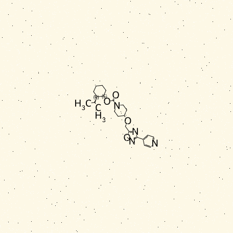 CC(C)[C@H]1CCCC[C@@H]1OC(=O)N1CCC(OCc2nc(-c3ccncc3)no2)CC1